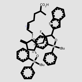 C=C1C[C@@H](O[Si](c2ccccc2)(c2ccccc2)C(C)(C)C)[C@H](CC(F)C(O[Si](c2ccccc2)(c2ccccc2)C(C)(C)C)c2cc3ccccc3s2)[C@H]1C/C=C\CCC(C)C(=O)O